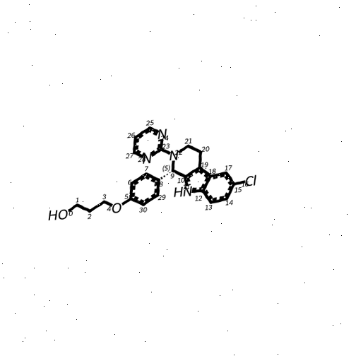 OCCCOc1ccc([C@H]2c3[nH]c4ccc(Cl)cc4c3CCN2c2ncccn2)cc1